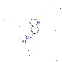 CCN(C)Cc1ccc2nccnc2c1